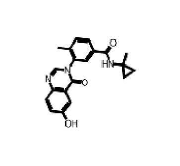 Cc1ccc(C(=O)NC2(C)CC2)cc1-n1cnc2ccc(O)cc2c1=O